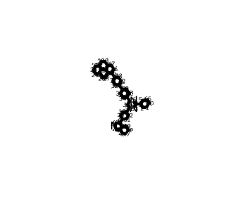 c1ccc(-c2nc(-c3ccc(-c4ccc(-c5ccc6ccc7cccc8ccc5c6c78)cc4)cc3)cc(-c3ccc(-c4cncc5ccccc45)cc3)n2)cc1